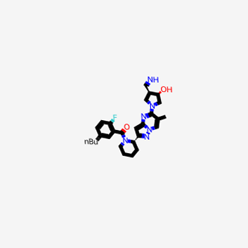 CCCCc1ccc(F)c(C(=O)N2CCCC[C@H]2c2cc3nc(N4C[C@@H](C=N)[C@@H](O)C4)c(C)cn3n2)c1